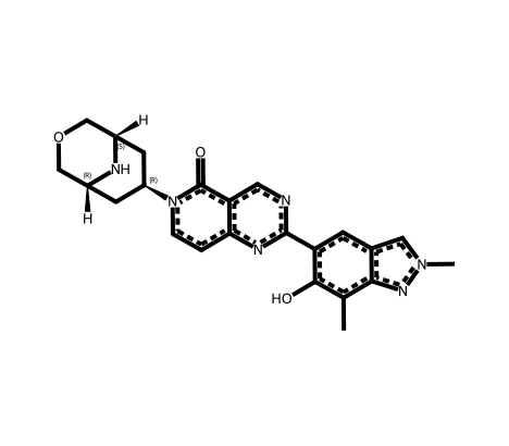 Cc1c(O)c(-c2ncc3c(=O)n([C@@H]4C[C@H]5COC[C@@H](C4)N5)ccc3n2)cc2cn(C)nc12